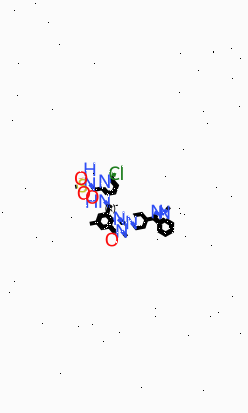 Cc1cc([C@@H](C)Nc2ccc(Cl)nc2C(=O)NS(C)(=O)=O)c2nc(N3CCC(c4nn(C)c5ccccc45)CC3)n(C)c(=O)c2c1